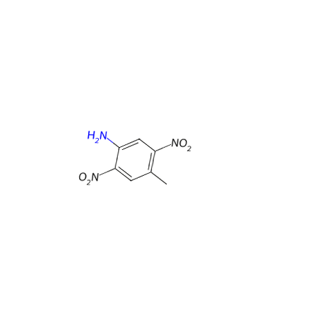 Cc1cc([N+](=O)[O-])c(N)cc1[N+](=O)[O-]